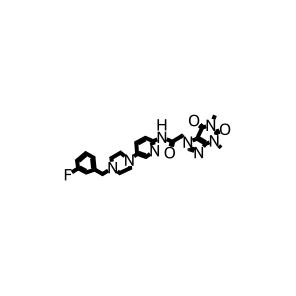 Cn1c(=O)c2c(ncn2CC(=O)Nc2ccc(N3CCN(Cc4cccc(F)c4)CC3)cn2)n(C)c1=O